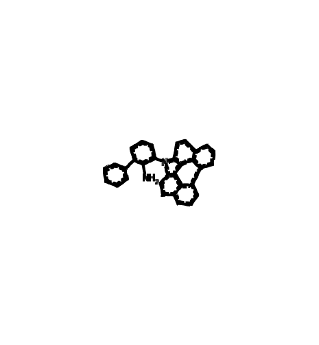 Nc1c(-c2ccccc2)cccc1-n1c2ccc3cccc4c5cccc6ccc1c(c65)c2c34